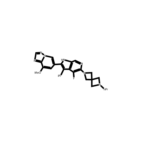 CCCN1CC2(C1)CN(c1ncc3[nH]c(-c4cc(OC)c5ncnn5c4)c(C(C)C)c3c1F)C2